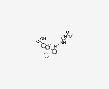 COC(=O)N1CCC(NCCN2CCn3c(c(C4CCCCC4)c4ccc(C(=O)O)cc43)-c3ccccc32)C1